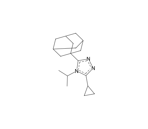 CC(C)n1c(C2CC2)nnc1C12CC3CC(CC(C3)C1)C2